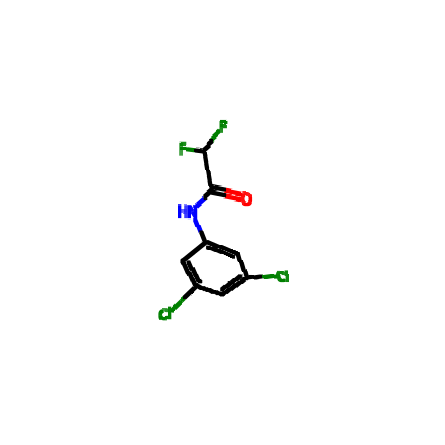 O=C(Nc1cc(Cl)cc(Cl)c1)C(F)F